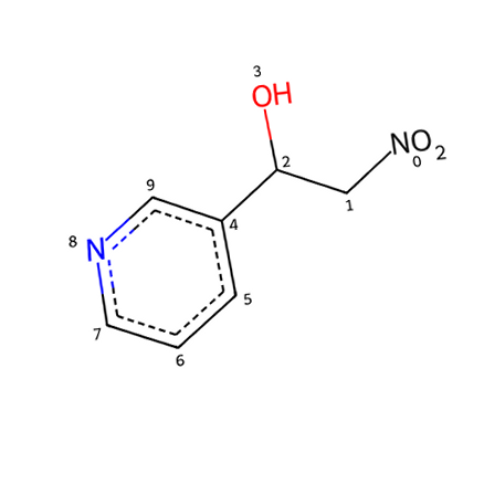 O=[N+]([O-])CC(O)c1cccnc1